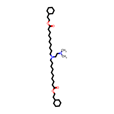 CN(C)CCN(CCCCCCCCCC(=O)OCCC1CCCCC1)CCCCCCCCCC(=O)OCCC1CCCCC1